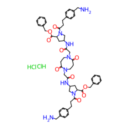 Cl.Cl.NCc1ccc(CCC(=O)N2CC(NC(=O)CN3CCC(=O)N(CC(=O)NC4CC(C(=O)OCc5ccccc5)N(C(=O)CCc5ccc(CN)cc5)C4)CCC3=O)CC2C(=O)OCc2ccccc2)cc1